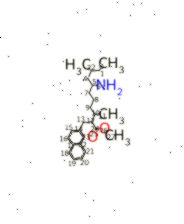 CCC(C)CC(N)CCCC(C)C(Cc1ccc2ccccc2c1)C(=O)OC